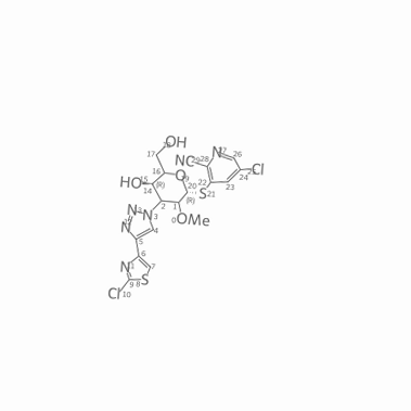 COC1C(n2cc(-c3csc(Cl)n3)nn2)[C@@H](O)C(CO)O[C@@H]1Sc1cc(Cl)cnc1C#N